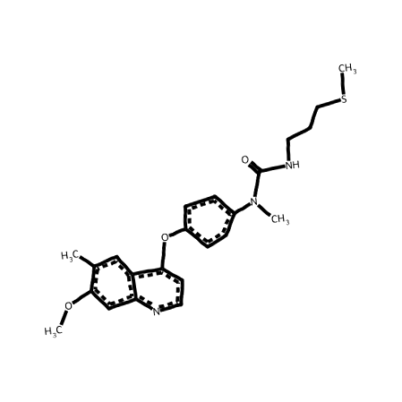 COc1cc2nccc(Oc3ccc(N(C)C(=O)NCCCSC)cc3)c2cc1C